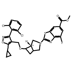 COC(=O)c1cc(F)c2nc(N3CC4CC(OCc5c(-c6c(Cl)cccc6Cl)noc5C5CC5)[C@@H]4C3)sc2c1